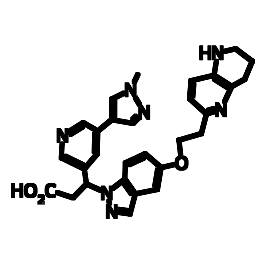 Cn1cc(-c2cncc(C(CC(=O)O)n3ncc4cc(OCCc5ccc6c(n5)CCCN6)ccc43)c2)cn1